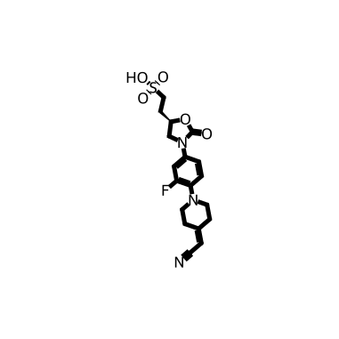 N#CC=C1CCN(c2ccc(N3C[C@@H](CCS(=O)(=O)O)OC3=O)cc2F)CC1